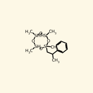 CC(C[Si]1(C)O[SiH](C)O[SiH](C)O[SiH](C)O1)c1ccccc1